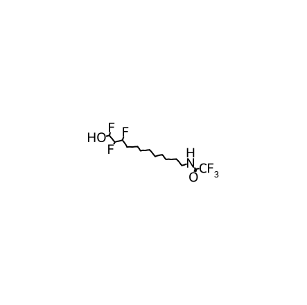 O=C(NCCCCCCCCCC(F)C(F)C(O)F)C(F)(F)F